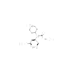 Cc1cc(N(C(=O)OC(C)(C)C)C2CCNCC2)cnn1